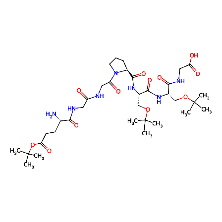 CC(C)(C)OC[C@H](NC(=O)[C@H](COC(C)(C)C)NC(=O)[C@@H]1CCCN1C(=O)CNC(=O)CNC(=O)[C@@H](N)CCC(=O)OC(C)(C)C)C(=O)NCC(=O)O